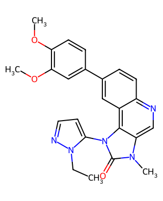 CCn1nccc1-n1c(=O)n(C)c2cnc3ccc(-c4ccc(OC)c(OC)c4)cc3c21